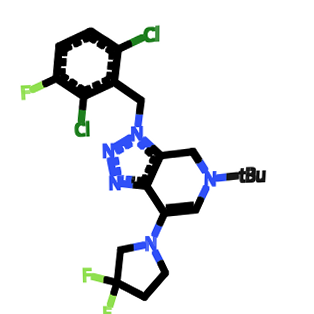 CC(C)(C)N1C=C(N2CCC(F)(F)C2)c2nnn(Cc3c(Cl)ccc(F)c3Cl)c2C1